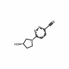 N#Cc1ccc(N2CC[C@@H](O)C2)nn1